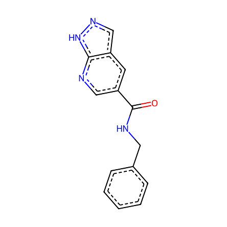 O=C(NCc1ccccc1)c1cnc2[nH]ncc2c1